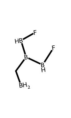 BCB(BF)BF